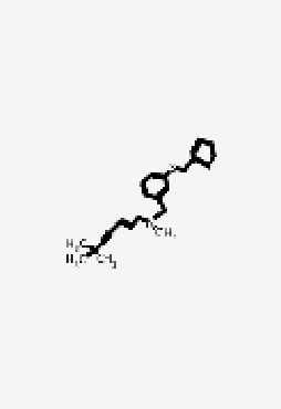 CN(C/C=C/C#CC(C)(C)C)Cc1cccc(SCc2ccccc2)c1